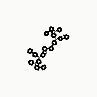 c1ccc(-c2ccc(N(c3ccc4sc5c(-c6cccc(-c7ccc(N(c8ccc9c(c8)sc8ccccc89)c8ccc9c%10c(-c%11ccccc%11)cccc%10n(-c%10ccccc%10)c9c8)cc7)c6)cccc5c4c3)c3ccc4c5c(-c6ccccc6)cccc5n(-c5ccccc5)c4c3)cc2)cc1